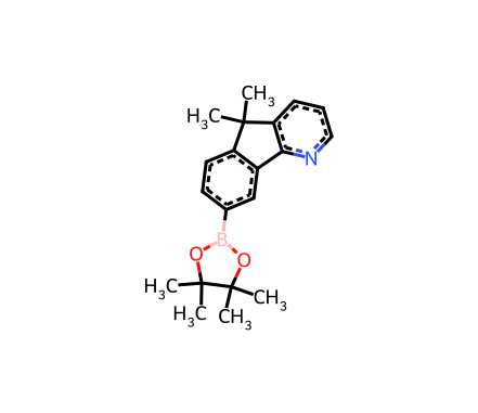 CC1(C)c2ccc(B3OC(C)(C)C(C)(C)O3)cc2-c2ncccc21